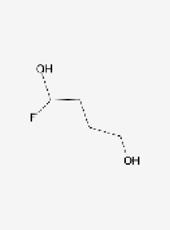 OCCCC(O)F